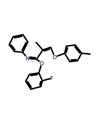 CC(=COc1ccc(C)cc1)/C(=N\c1ccccc1)Oc1ccccc1F